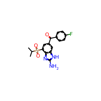 CC(C)S(=O)(=O)c1cc(C(=O)c2ccc(F)cc2)cc2[nH]c(N)nc12